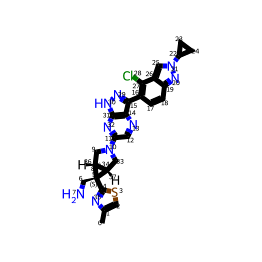 Cc1csc([C@]2(CN)[C@@H]3CN(c4cnc5c(-c6ccc7nn(C8CC8)cc7c6Cl)n[nH]c5n4)C[C@@H]32)n1